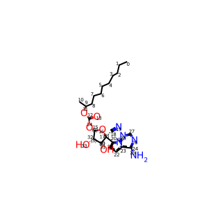 CCCCCCCCCC(C)OC(=O)O[C@H]1O[C@@](C#N)(c2ccc3c(N)ncnn23)[C@H](O)[C@@H]1O